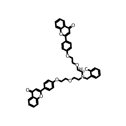 Cc1ccccc1CN(CCOCCOc1ccc(-c2cc(=O)c3ccccc3o2)cc1)CCOCCOc1ccc(-c2cc(=O)c3ccccc3o2)cc1